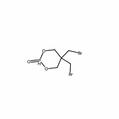 O=[PH]1O[CH]C(CBr)(CBr)CO1